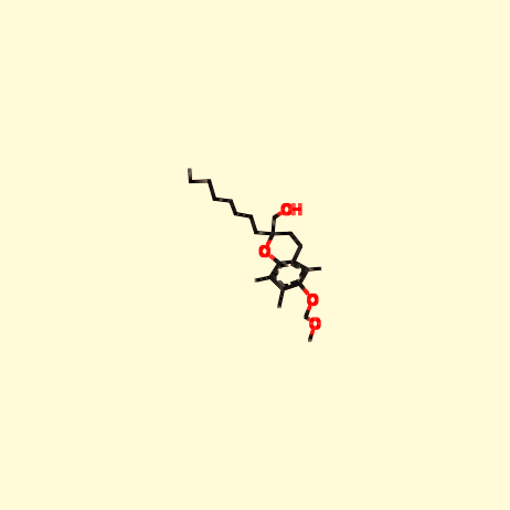 CCCCCCCCC1(CO)CCc2c(C)c(OCOC)c(C)c(C)c2O1